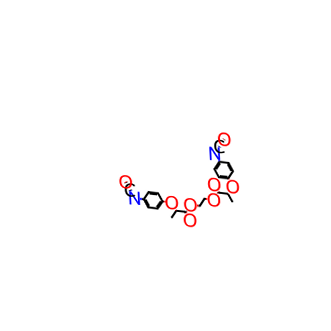 CC(Oc1ccc(N=C=O)cc1)C(=O)OCCOC(=O)C(C)Oc1ccc(N=C=O)cc1